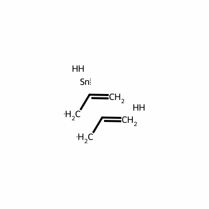 [CH2]C=C.[CH2]C=C.[HH].[HH].[Sn]